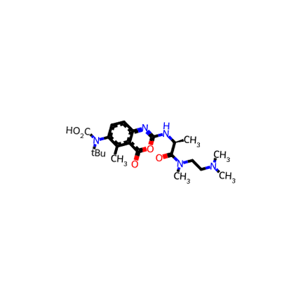 Cc1c(N(C(=O)O)C(C)(C)C)ccc2nc(N[C@@H](C)C(=O)N(C)CCN(C)C)oc(=O)c12